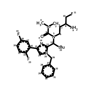 CN(C)C(=O)N(CCC(N)CF)C(c1nc(-c2cc(F)ccc2F)cn1Cc1ccccc1)C(C)(C)C